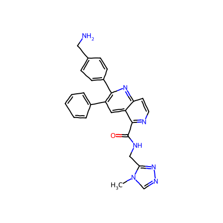 Cn1cnnc1CNC(=O)c1nccc2nc(-c3ccc(CN)cc3)c(-c3ccccc3)cc12